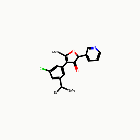 CCC(SC)c1cc(Cl)cc(C2=C(NC)OC(c3cccnc3)C2=O)c1